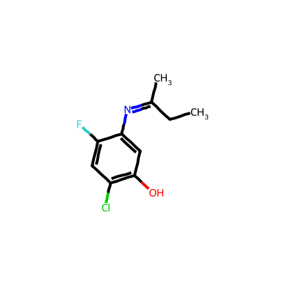 CCC(C)=Nc1cc(O)c(Cl)cc1F